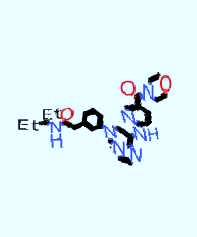 CCC(CC)NC(=O)Cc1cccc(N2C=C(Nc3ccc(C(=O)N4CCOCC4)cn3)C3=NC=C[N+]3C2)c1